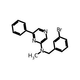 CN(Cc1cccc(Br)c1)c1cncc(-c2ccccc2)n1